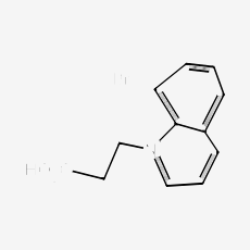 O=C(O)CC[n+]1cccc2ccccc21.[Br-]